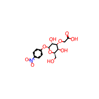 O=C(O)CO[C@H]1[C@@H](O)[C@@H](CO)O[C@@H](Oc2ccc([N+](=O)[O-])cc2)[C@@H]1O